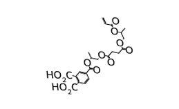 C=CC(=O)OC(C)COC(=O)CCC(=O)OCC(C)OC(=O)c1ccc(C(=O)O)c(C(=O)O)c1